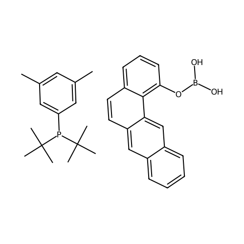 Cc1cc(C)cc(P(C(C)(C)C)C(C)(C)C)c1.OB(O)Oc1cccc2ccc3cc4ccccc4cc3c12